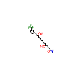 CN(C)C(=O)CCCC(O)/C=C/C=C/C=C/C(O)CCc1cccc(C(F)(F)F)c1